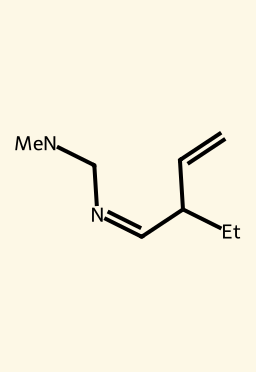 C=CC(/C=N\CNC)CC